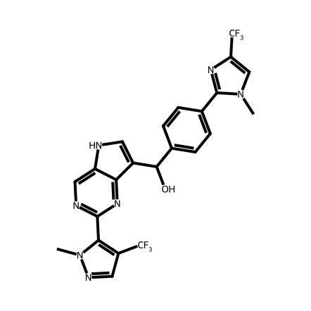 Cn1cc(C(F)(F)F)nc1-c1ccc(C(O)c2c[nH]c3cnc(-c4c(C(F)(F)F)cnn4C)nc23)cc1